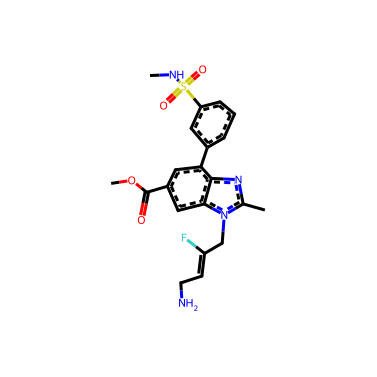 CNS(=O)(=O)c1cccc(-c2cc(C(=O)OC)cc3c2nc(C)n3CC(F)=CCN)c1